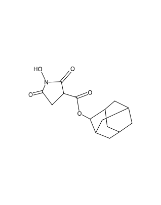 O=C(OC1C2CC3CC(C2)CC1C3)C1CC(=O)N(O)C1=O